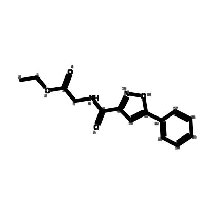 CCOC(=O)CNC(=O)c1cc(-c2ccccc2)on1